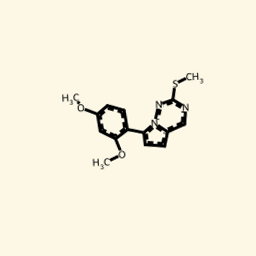 COc1ccc(-c2ccc3cnc(SC)nn23)c(OC)c1